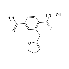 NC(=O)c1ccc(C(=O)NO)c(CC2=COCO2)c1